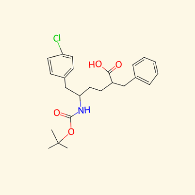 CC(C)(C)OC(=O)NC(CCC(Cc1ccccc1)C(=O)O)Cc1ccc(Cl)cc1